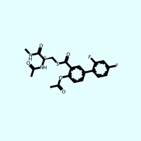 CNC(=O)[C@@H](CSC(=O)c1cc(-c2ccc(F)cc2F)ccc1OC(C)=O)NC(C)=O